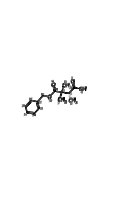 C[C@@H](C(=O)O)C(C)(C)C(=O)OCc1ccccc1